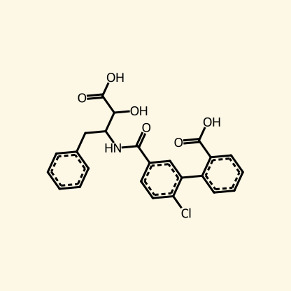 O=C(NC(Cc1ccccc1)C(O)C(=O)O)c1ccc(Cl)c(-c2ccccc2C(=O)O)c1